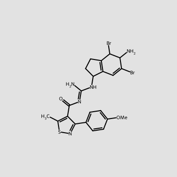 COc1ccc(-c2nsc(C)c2C(=O)/N=C(\N)NC2CCC3=C2C=C(Br)C(N)C3Br)cc1